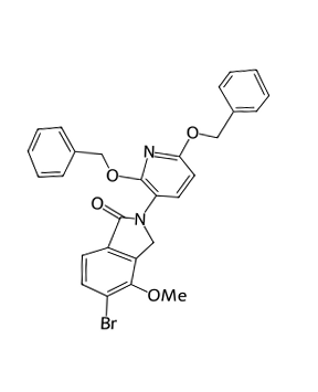 COc1c(Br)ccc2c1CN(c1ccc(OCc3ccccc3)nc1OCc1ccccc1)C2=O